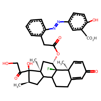 C[C@@H]1CC2C3CCC4=CC(=O)C=C[C@]4(C)[C@@]3(F)[C@@H](OC(=O)Cc3ccccc3N=Nc3ccc(O)c(C(=O)O)c3)C[C@]2(C)[C@@]1(O)C(=O)CO